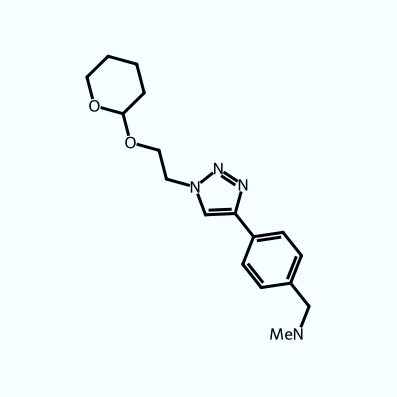 CNCc1ccc(-c2cn(CCOC3CCCCO3)nn2)cc1